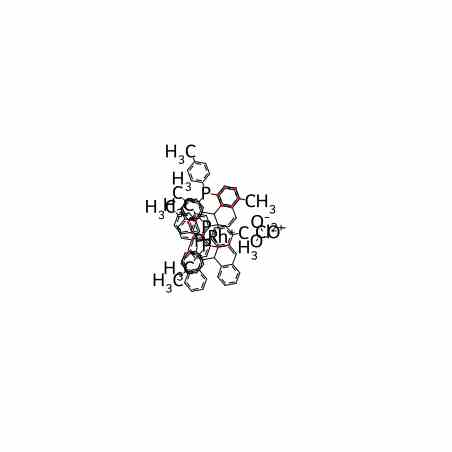 Cc1ccc(P(c2ccc(C)cc2)c2ccc3ccccc3c2C2c3ccccc3C=C[C]2([Rh+][C]2(P(c3ccc(C)cc3)c3ccc(C)cc3)C=Cc3ccccc3C2c2c(P(c3ccc(C)cc3)c3ccc(C)cc3)ccc3ccccc23)P(c2ccc(C)cc2)c2ccc(C)cc2)cc1.[O-][Cl+2]([O-])[O-]